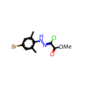 COC(=O)C(Cl)=NNc1c(C)cc(Br)cc1C